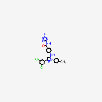 Cc1ccc(-n2nc(-c3cc(Cl)cc(Cl)c3)cc2Nc2ccc(C(=O)Nc3nn[nH]n3)cc2)cc1